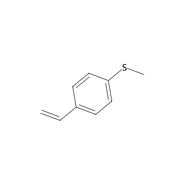 C=Cc1ccc(SC)cc1